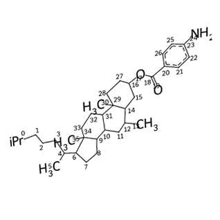 CC(C)CCCC(C)C1CCC2C3CC(C)C4CC(OC(=O)c5ccc(N)cc5)CCC4(C)C3CCC12C